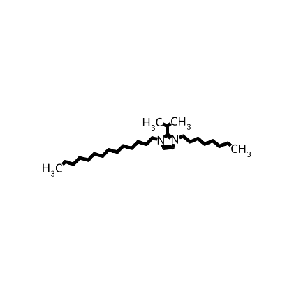 CCCCCCCCCCCCCCn1cc[n+](CCCCCCCC)c1C(C)C